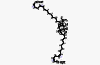 CCCCC/C=C\C/C=C\CCCCCCCCC1C2C[C@@H](N(C)C)[C@H]1[C@@H]1OC(CCCCCC/C=C\C/C=C\CCCCCCC)O[C@H]21